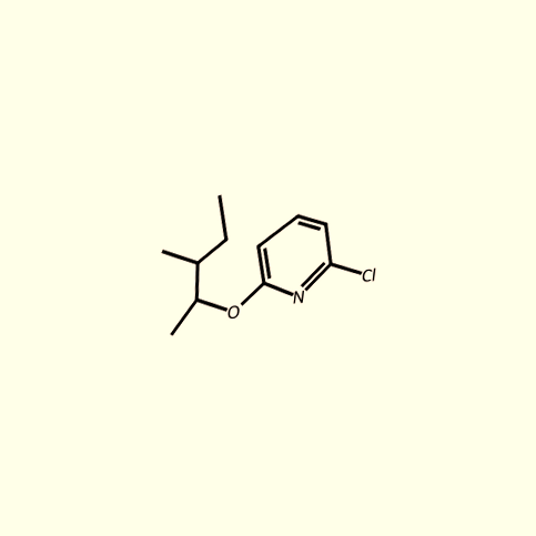 CCC(C)C(C)Oc1cccc(Cl)n1